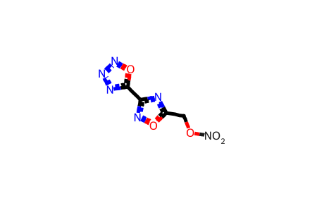 O=[N+]([O-])OCc1nc(-c2nnno2)no1